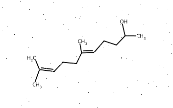 CC(C)=CCC/C(C)=C/CCC(C)O